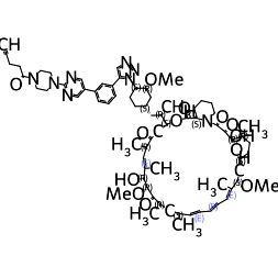 C#CCCC(=O)N1CCN(c2ncc(-c3cccc(-c4cnnn4[C@H]4CC[C@@H](C[C@@H](C)[C@@H]5CC(=O)[C@H](C)/C=C(\C)[C@@H](O)[C@@H](OC)C(=O)[C@H](C)C[C@H](C)/C=C/C=C/C=C(\C)[C@@H](OC)C[C@@H]6CC[C@@H](C)[C@@](O)(O6)C(=O)C(=O)N6CCCC[C@H]6C(=O)O5)C[C@H]4OC)c3)cn2)CC1